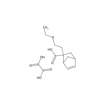 CCOCCC1(C(=O)O)CC2C=CC1C2.O=C(O)C(=O)O